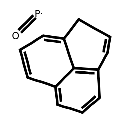 C1=Cc2cccc3cccc(c23)C1.O=[P]